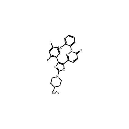 CNC1CCN(c2nc(-c3ccc(F)cc3F)c(-c3ccc(=O)n(-c4ccccc4C)n3)o2)CC1